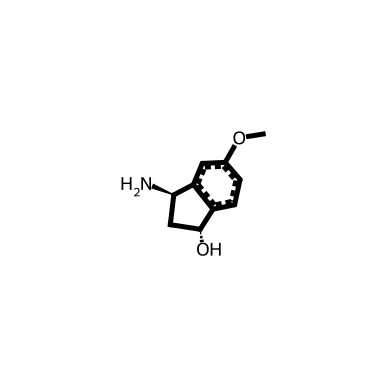 COc1ccc2c(c1)[C@H](N)C[C@H]2O